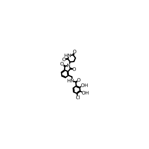 O=C1CCC(N2C(=O)c3cccc(CNC(=O)c4ccc(Cl)c(O)c4O)c3C2=O)C(=O)N1